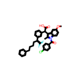 COc1ccc2c(c1)c(C(C(=O)O)c1cccc(C(CCCCc3ccccc3)=C(F)F)c1)c(C)n2C(=O)c1ccc(Cl)cc1